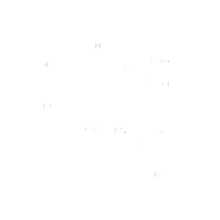 CCCCCCC1(C)CC(NC(=O)CBr)c2c(C)c(O)c(C)c(C)c2O1